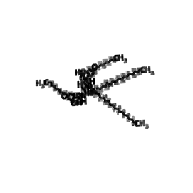 CCCCCCCCCCCCCCCCCCN(CCCCCCCCCCCCCCCCCC)c1nc(NNC(=O)c2ccc(OCCCCCCCC)cc2O)nc(NNC(=O)c2ccc(OCCCCCCCC)cc2O)n1